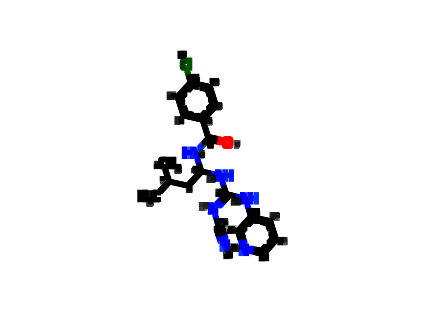 CC(C)CC(NC(=O)c1ccc(Cl)cc1)N/C(=N/C#N)Nc1cccnc1